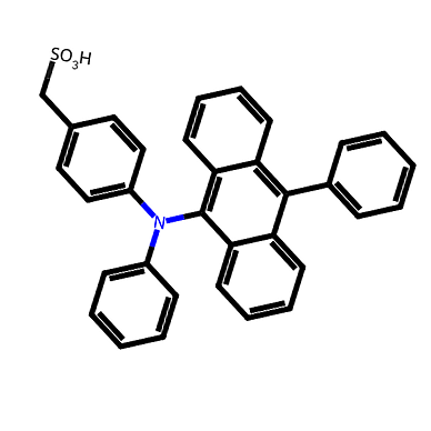 O=S(=O)(O)Cc1ccc(N(c2ccccc2)c2c3ccccc3c(-c3ccccc3)c3ccccc23)cc1